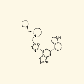 c1cc(-c2cc(-c3nnc(CN4CCCCC4CN4CCCC4)o3)c3cn[nH]c3c2)c2cc[nH]c2c1